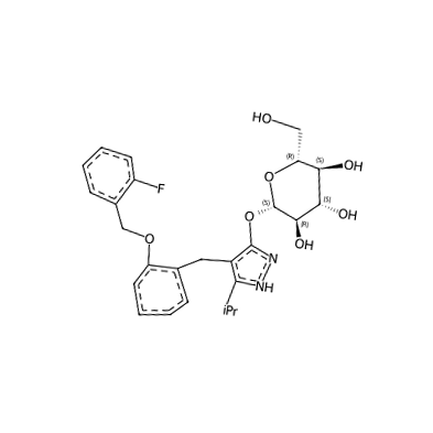 CC(C)c1[nH]nc(O[C@@H]2O[C@H](CO)[C@@H](O)[C@H](O)[C@H]2O)c1Cc1ccccc1OCc1ccccc1F